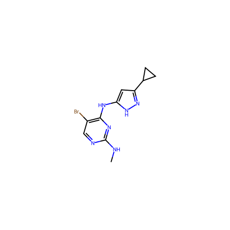 CNc1ncc(Br)c(Nc2cc(C3CC3)n[nH]2)n1